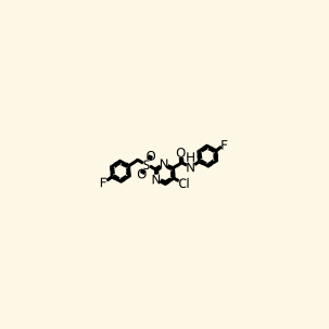 O=C(Nc1ccc(F)cc1)c1nc(S(=O)(=O)Cc2ccc(F)cc2)ncc1Cl